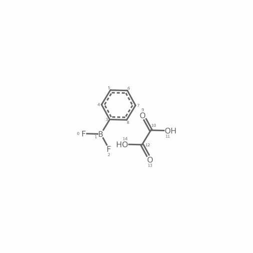 FB(F)c1ccccc1.O=C(O)C(=O)O